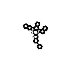 Clc1nc2ccc(-c3ccccc3)cc2nc1-n1c2ccc3ccccc3c2c2c3ccccc3c3c4cc5ccccc5cc4oc3c21